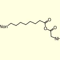 CCCCCCCCCCCCCCCCC(=O)OC(=O)CN